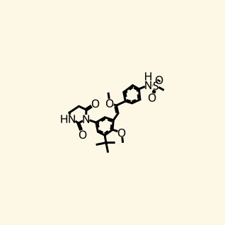 CO/C(=C\c1cc(N2C(=O)CCNC2=O)cc(C(C)(C)C)c1OC)c1ccc(NS(C)(=O)=O)cc1